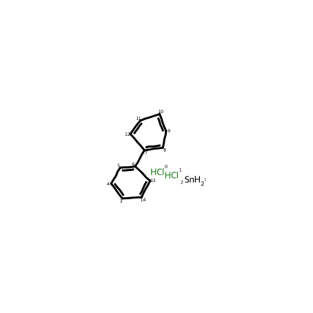 Cl.Cl.[SnH2].c1ccc(-c2ccccc2)cc1